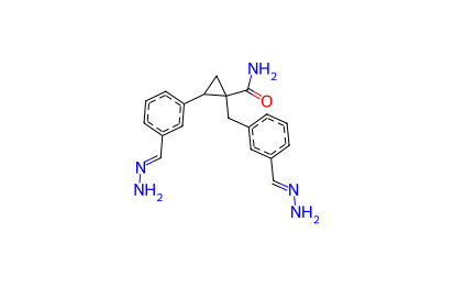 NN=Cc1cccc(CC2(C(N)=O)CC2c2cccc(C=NN)c2)c1